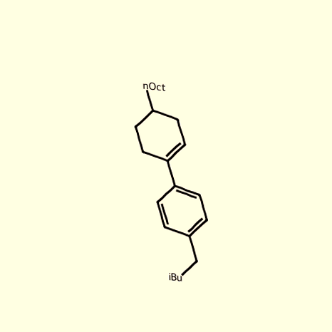 CCCCCCCCC1CC=C(c2ccc(CC(C)CC)cc2)CC1